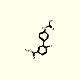 CCc1ccc(C(=O)OC)cc1-c1ccc(NC(=O)C(C)C)cc1